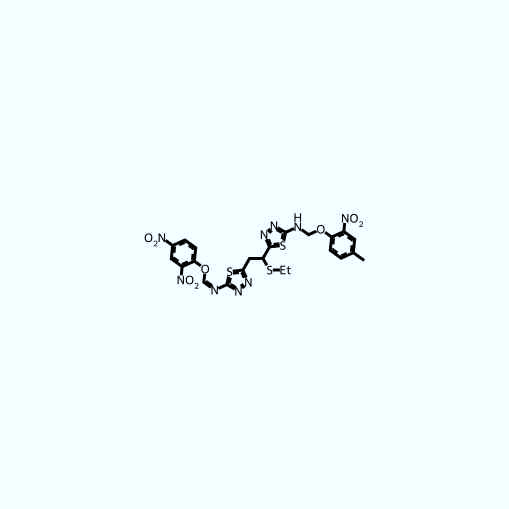 CCSC(Cc1nnc(/N=C\Oc2ccc([N+](=O)[O-])cc2[N+](=O)[O-])s1)c1nnc(NCOc2ccc(C)cc2[N+](=O)[O-])s1